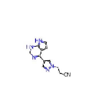 N#CCCn1cc(C2=NCNc3[nH]ccc32)cn1